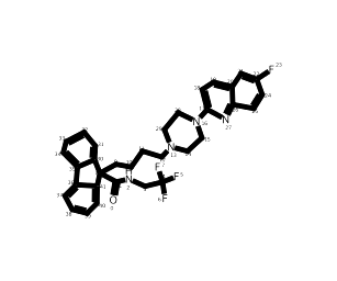 O=C(NCC(F)(F)F)C1(CCCCN2CCN(c3ccc4cc(F)ccc4n3)CC2)c2ccccc2-c2ccccc21